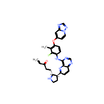 C=CC(=O)CC[C@H]1NCC[C@@H]1c1ccc2ncnc(Nc3ccc(Oc4ccn5ncnc5c4)c(C)c3F)c2n1